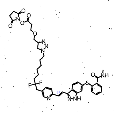 CNC(=O)c1ccccc1Sc1ccc2c(/C=C/c3ccc(CC(F)(F)CCCCCCN4CC(COCCC(=O)ON5C(=O)CCC5=O)N=N4)cn3)n[nH]c2c1